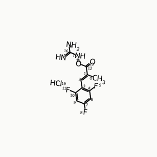 C/C(=C\c1c(F)cc(F)cc1F)C(=O)ONC(=N)N.Cl